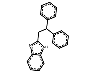 c1ccc(C(Cc2nc3ccccc3[nH]2)c2ccccc2)cc1